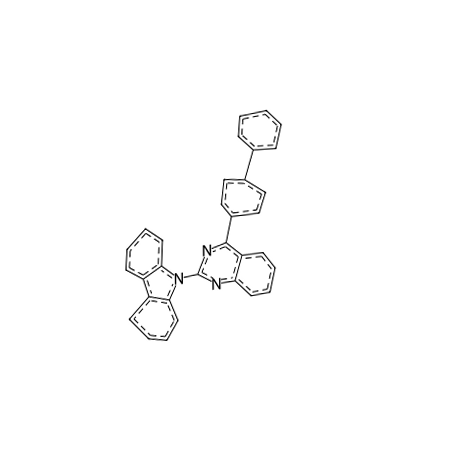 c1ccc(-c2ccc(-c3nc(-n4c5ccccc5c5ccccc54)nc4ccccc34)cc2)cc1